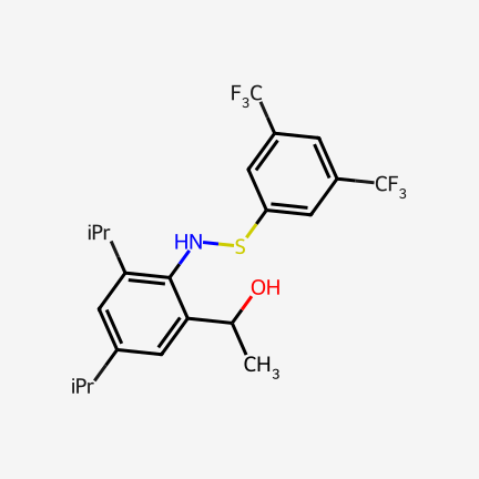 CC(C)c1cc(C(C)C)c(NSc2cc(C(F)(F)F)cc(C(F)(F)F)c2)c(C(C)O)c1